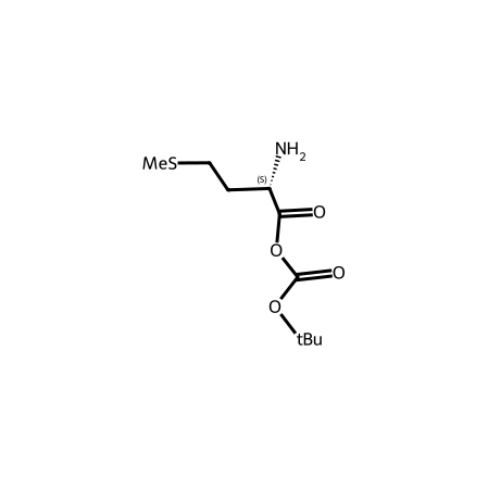 CSCC[C@H](N)C(=O)OC(=O)OC(C)(C)C